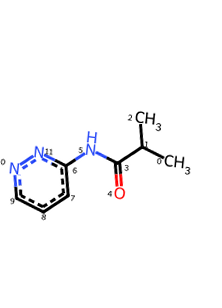 CC(C)C(=O)Nc1cccnn1